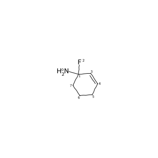 NC1(F)C=CCCC1